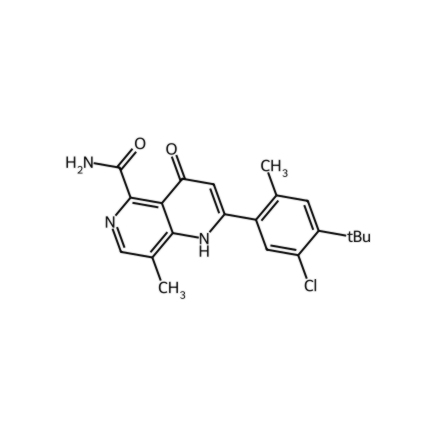 Cc1cc(C(C)(C)C)c(Cl)cc1-c1cc(=O)c2c(C(N)=O)ncc(C)c2[nH]1